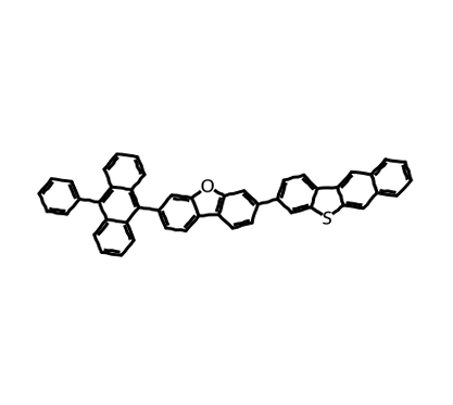 c1ccc(-c2c3ccccc3c(-c3ccc4c(c3)oc3cc(-c5ccc6c(c5)sc5cc7ccccc7cc56)ccc34)c3ccccc23)cc1